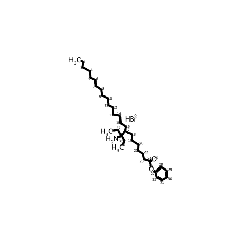 Br.CCCCCCCCCCCCCCCCC(CCCCCCC(=O)Oc1ccccc1)C(N)(CC)CC